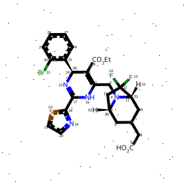 CCOC(=O)C1=C(CN2[C@@H]3CC(CC(=O)O)C[C@H]2C(F)(F)C3)NC(c2nccs2)=N[C@H]1c1ccccc1Br